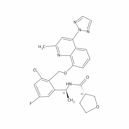 Cc1cc(-n2nccn2)c2cccc(OCc3c(Cl)cc(F)cc3[C@H](C)NC(=O)[C@H]3CCOC3)c2n1